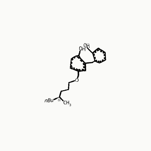 CCCC[C@H](C)CCCOc1ccc(O)c(-c2ccccc2O)c1